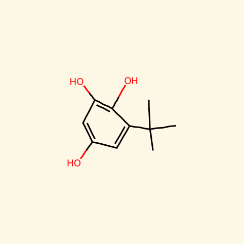 CC(C)(C)c1cc(O)cc(O)c1O